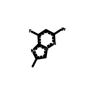 Cc1cn2nc(C(C)C)cc(F)c2n1